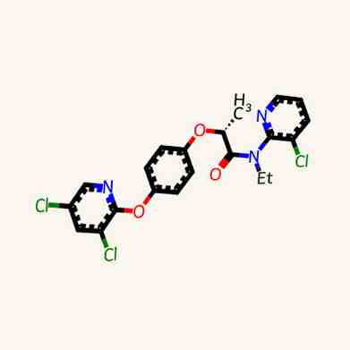 CCN(C(=O)[C@@H](C)Oc1ccc(Oc2ncc(Cl)cc2Cl)cc1)c1ncccc1Cl